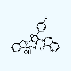 O=c1c2ncccc2ccn1-c1nc(N2Cc3ccccc3S2(O)O)oc1-c1ccc(F)cc1